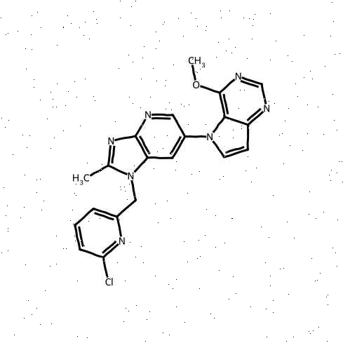 COc1ncnc2ccn(-c3cnc4nc(C)n(Cc5cccc(Cl)n5)c4c3)c12